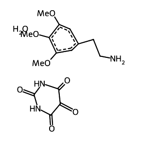 COc1cc(CCN)cc(OC)c1OC.O.O=C1NC(=O)C(=O)C(=O)N1